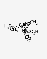 CCCCN(CCCCN(C)C)C(=O)CN1C[C@H](c2ccc3c(c2)CCO3)[C@@H](C(=O)O)[C@@H]1CCc1ncc(C)o1